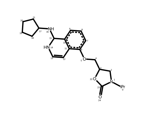 CC(C)N1CC(COc2cccc3c2C=CNC3NC2CCCC2)OC1=O